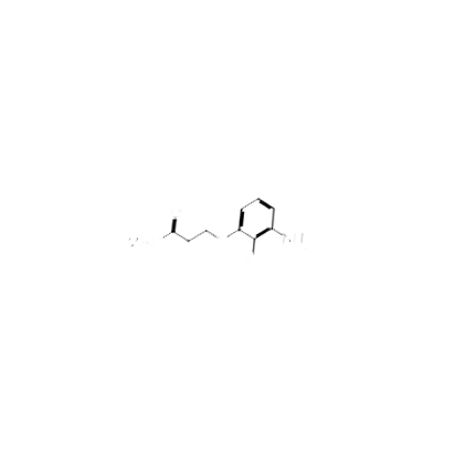 COC(=O)CCSc1cccc(N)c1Cl